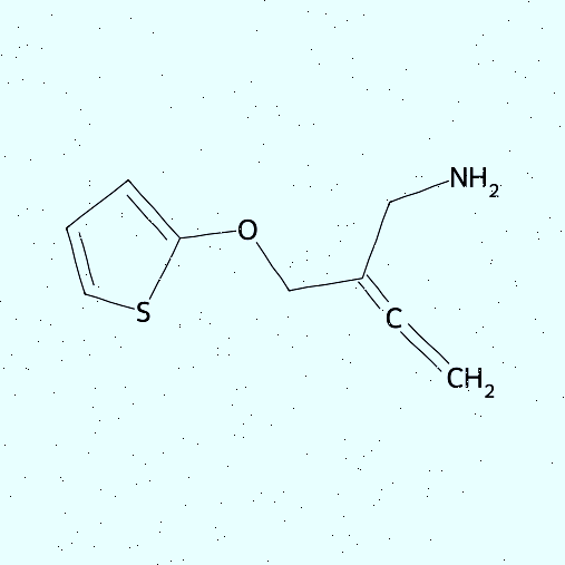 C=C=C(CN)COc1cccs1